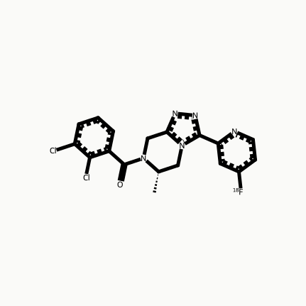 C[C@H]1Cn2c(nnc2-c2cc([18F])ccn2)CN1C(=O)c1cccc(Cl)c1Cl